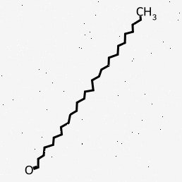 CCCCCCCCCCCCCCCCCCCCCCCCCCCC=O